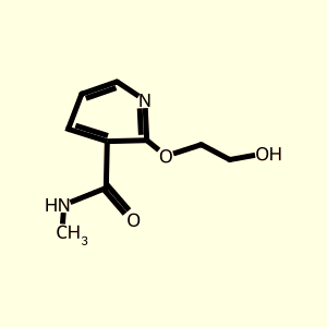 CNC(=O)c1cccnc1OCCO